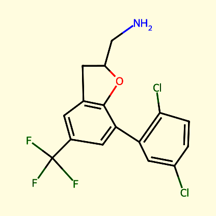 NCC1Cc2cc(C(F)(F)F)cc(-c3cc(Cl)ccc3Cl)c2O1